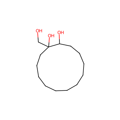 OCC1(O)CCCCCCCCCCCC1O